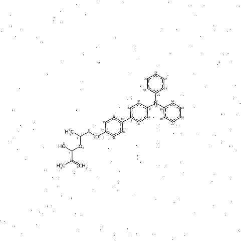 C=C(C)C(O)OC(C)COc1ccc(-c2ccc(N(c3ccccc3)c3ccccc3)cc2)cc1